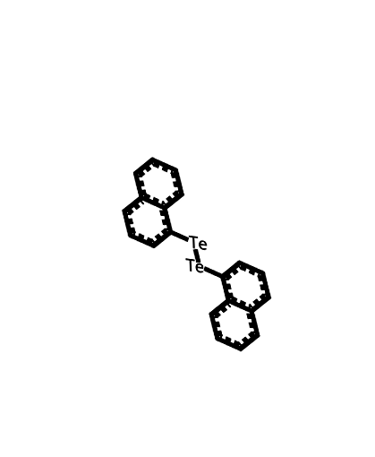 c1ccc2c([Te][Te]c3cccc4ccccc34)cccc2c1